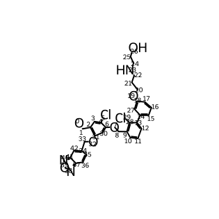 O=Cc1cc(Cl)c(OCc2cccc(-c3cccc(OCCCNCCO)c3)c2Cl)cc1OCc1ccc2nonc2c1